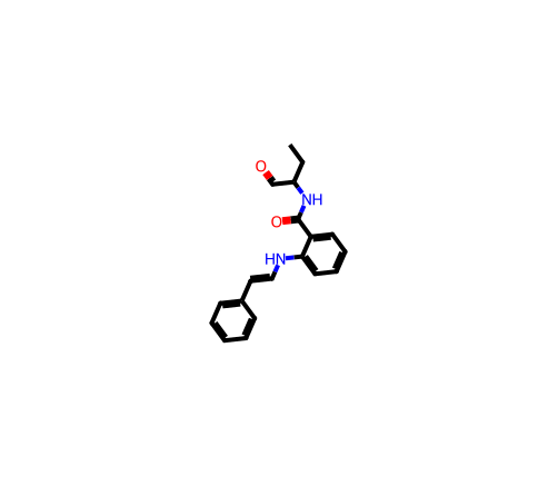 CCC(C=O)NC(=O)c1ccccc1NC=Cc1ccccc1